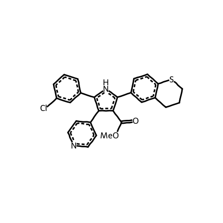 COC(=O)c1c(-c2ccc3c(c2)CCCS3)[nH]c(-c2cccc(Cl)c2)c1-c1ccncc1